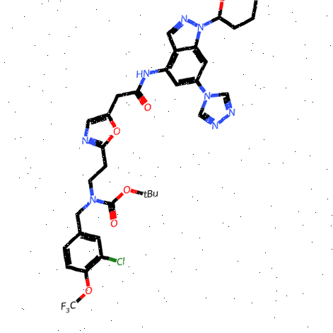 CC(C)(C)OC(=O)N(CCc1ncc(CC(=O)Nc2cc(-n3cnnc3)cc3c2cnn3C2CCCCO2)o1)Cc1ccc(OC(F)(F)F)c(Cl)c1